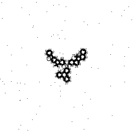 CC1(C)c2cc(N(c3ccc4c5c(ccc4c3)-c3ccc4ccccc4c3C5(C)C)c3ccc4c5ccccc5c5ccccc5c4c3)ccc2-c2cc3c(cc21)oc1ccccc13